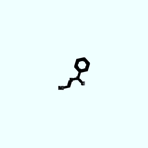 N#CC=NN(Cl)c1ccccc1